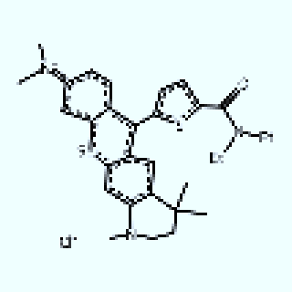 CCN(CC)C(=O)c1ccc(-c2c3ccc(=[N+](C)C)cc-3[se]c3cc4c(cc23)C(C)(C)CCN4C)s1.[Cl-]